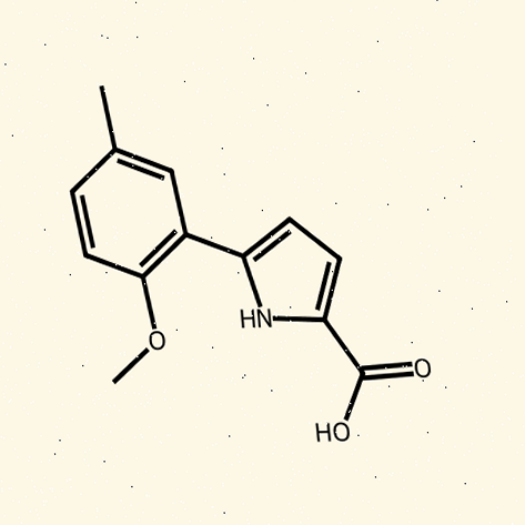 COc1ccc(C)cc1-c1ccc(C(=O)O)[nH]1